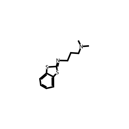 CN(C)CCCN=c1sc2ccccc2s1